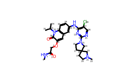 CNC(=O)COc1cc2cc(Nc3nc(N4CCC5(CCN(C)C5)C4)ncc3Cl)ccc2n(C(C)C)c1=O